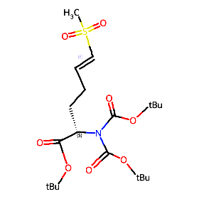 CC(C)(C)OC(=O)[C@H](CC/C=C/S(C)(=O)=O)N(C(=O)OC(C)(C)C)C(=O)OC(C)(C)C